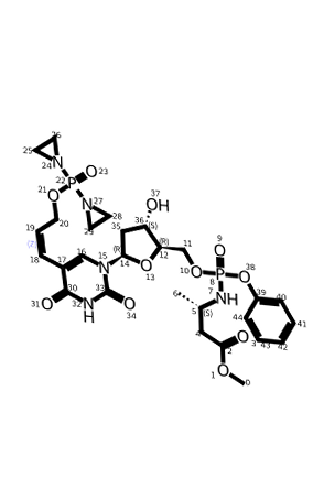 COC(=O)C[C@H](C)NP(=O)(OC[C@H]1O[C@@H](n2cc(/C=C\COP(=O)(N3CC3)N3CC3)c(=O)[nH]c2=O)C[C@@H]1O)Oc1ccccc1